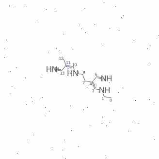 CCN/C=C(\C=N)CCN/C=C(/C)C=N